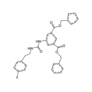 O=C(NCCc1ccc(F)cc1)Nc1cc(C(=O)OCc2ccccc2)cc(C(=O)OCc2ccccc2)c1